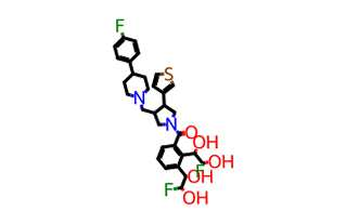 O=C(c1cccc(C(O)C(O)F)c1C(O)C(O)F)N1CC(CN2CCC(c3ccc(F)cc3)CC2)C(c2ccsc2)C1